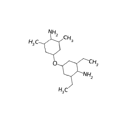 CCC1CC(OC2CC(C)C(N)C(C)C2)CC(CC)C1N